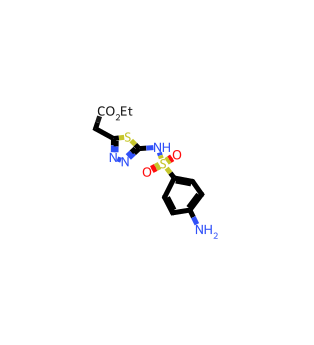 CCOC(=O)Cc1nnc(NS(=O)(=O)c2ccc(N)cc2)s1